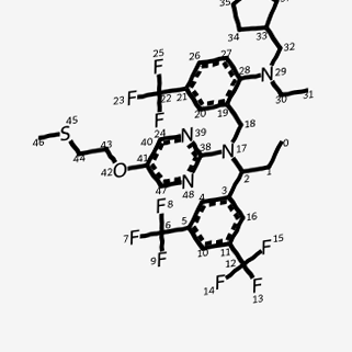 CCC(c1cc(C(F)(F)F)cc(C(F)(F)F)c1)N(Cc1cc(C(F)(F)F)ccc1N(CC)CC1CCCC1)c1ncc(OCCSC)cn1